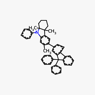 Cc1cc2c(cc1-c1ccc3c(c1)C(c1ccccc1)(c1ccccc1)c1ccccc1-3)C1(C)CCCCC1(C)N2c1ccccc1